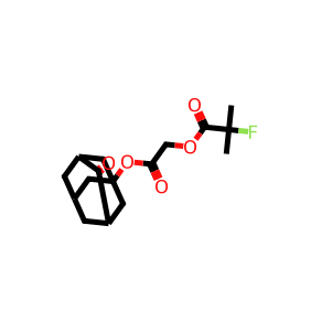 CC(C)(F)C(=O)OCC(=O)OC12CC3CC(C1)C(=O)C(C3)C2